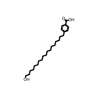 O=C(O)c1ccc(CCCCCCCCCCCCCCCCCCO)cc1